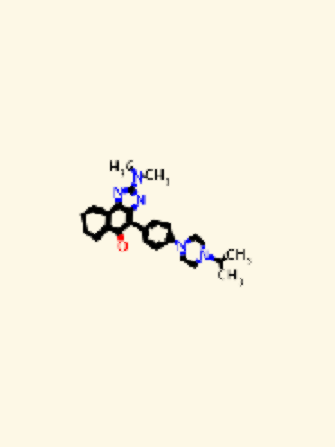 CC(C)N1CCN(c2ccc(C3=C4N=C(N(C)C)N=C4C4=CCCC=C4C3=O)cc2)CC1